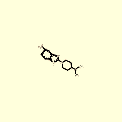 CN(C)C1CCN(c2nc3cc(N)ccc3o2)CC1